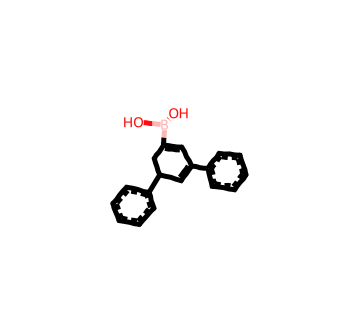 OB(O)C1=CC(c2ccccc2)=CC(c2ccccc2)C1